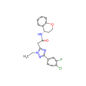 CCn1nc(-c2ccc(Cl)c(F)c2)nc1CC(=O)N[C@H]1CCOc2ccccc21